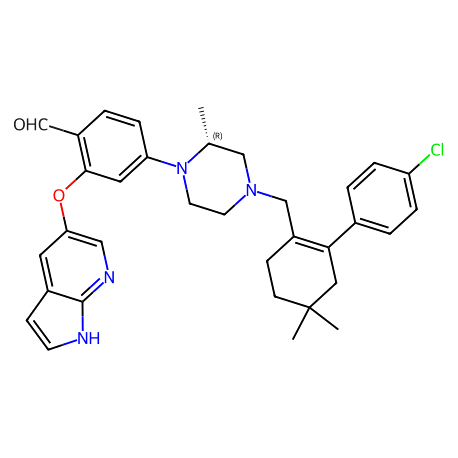 C[C@@H]1CN(CC2=C(c3ccc(Cl)cc3)CC(C)(C)CC2)CCN1c1ccc(C=O)c(Oc2cnc3[nH]ccc3c2)c1